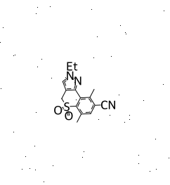 CCn1cc2c(n1)-c1c(C)c(C#N)cc(C)c1S(=O)(=O)C2